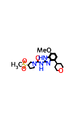 COc1ccc(C2CCOCC2)c2nc(NC(=O)N3CC[C@H](S(C)(=O)=O)C3)[nH]c12